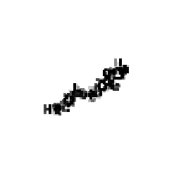 O=C1CCC(N2C(=O)c3ccc(O[C@H]4C[C@H](OCC(F)(F)CN5CCC(OC6CNC6)CC5)C4)cc3C2=O)C(=O)N1